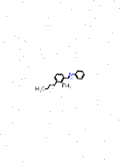 CCCCc1cccc(/C=N/c2ccccc2)c1C